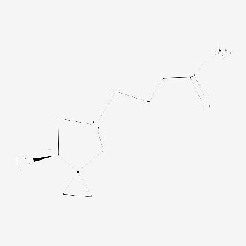 COC(=O)CCCN1C[C@H](N)C2(CC2)C1